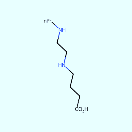 CCCNCCNCCCC(=O)O